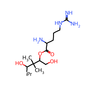 CC(C)C(O)C(C)(C)C(CO)OC(=O)C(N)CCCNC(=N)N